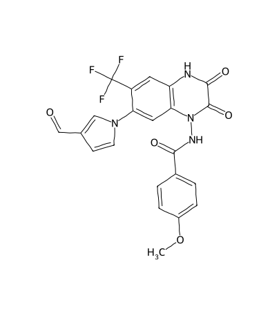 COc1ccc(C(=O)Nn2c(=O)c(=O)[nH]c3cc(C(F)(F)F)c(-n4ccc(C=O)c4)cc32)cc1